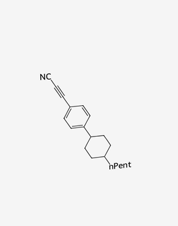 CCCCCC1CCC(c2ccc(C#CC#N)cc2)CC1